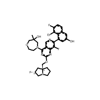 CCc1c(F)ccc2cc(O)cc(-c3ncc4c(N5CCOCC(C)(O)C5)nc(OC[C@@]56CCCN5C[C@H](F)C6)nc4c3F)c12